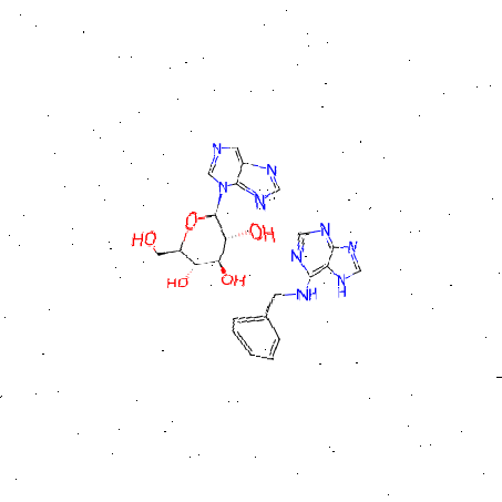 OC[C@H]1O[C@@H](n2cncc3ncnc2-3)[C@H](O)[C@@H](O)[C@@H]1O.c1ccc(CNc2ncnc3nc[nH]c23)cc1